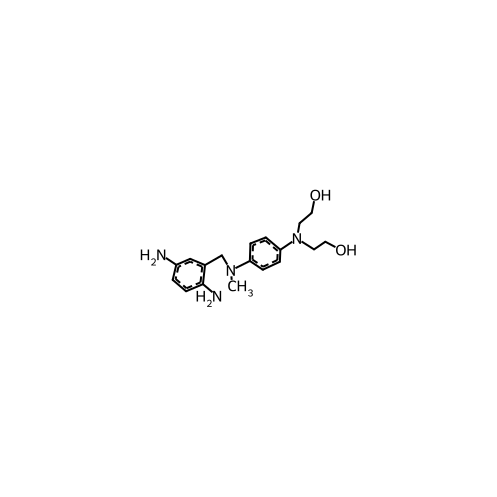 CN(Cc1cc(N)ccc1N)c1ccc(N(CCO)CCO)cc1